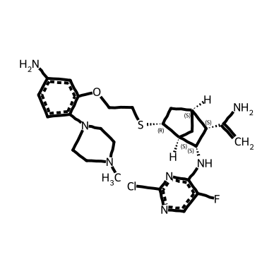 C=C(N)[C@H]1[C@H]2C[C@@H]([C@H]1Nc1nc(Cl)ncc1F)[C@H](SCCOc1cc(N)ccc1N1CCN(C)CC1)C2